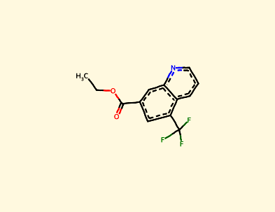 CCOC(=O)c1cc(C(F)(F)F)c2cccnc2c1